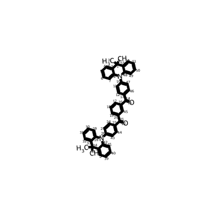 CC1(C)c2ccccc2N(c2ccc(C(=O)c3cccc(C(=O)c4ccc(N5c6ccccc6C(C)(C)c6ccccc65)cc4)c3)cc2)c2ccccc21